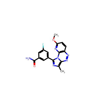 COc1ccc2nnc3c(C)nc(-c4cc(F)cc(C(N)=O)c4)n3c2n1